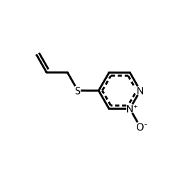 C=CCSc1ccn[n+]([O-])c1